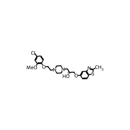 COc1cc(Cl)ccc1OCCN1CCN(C[C@@H](O)COc2ccc3sc(C)nc3c2)CC1